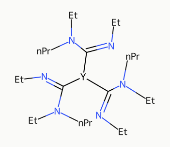 CCCN(CC)[C](=NCC)[Y]([C](=NCC)N(CC)CCC)[C](=NCC)N(CC)CCC